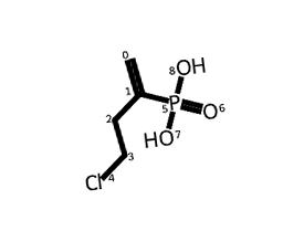 C=C(CCCl)P(=O)(O)O